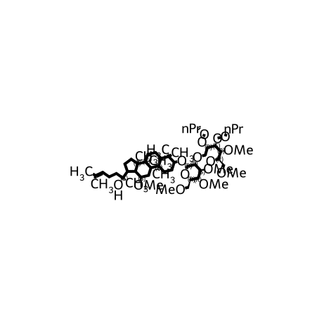 CCCOO[C@H]1[C@H](OC)[C@@H](COC)OC(O[C@H]2[C@H](OC3CC[C@]4(C)C(CC[C@@]5(C)C4C[C@H](OC)C4C([C@@](C)(O)CCC=C(C)C)CC[C@@]45C)C3(C)C)O[C@H](COC)[C@@H](OC)[C@@H]2OC)[C@@H]1OOCCC